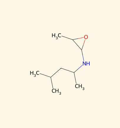 CC(C)CC(C)NC1OC1C